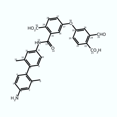 Cc1cc(N)ccc1-c1ccc(NC(=O)c2cc(Oc3ccc(C(=O)O)c(C=O)c3)ccc2C(=O)O)cc1C